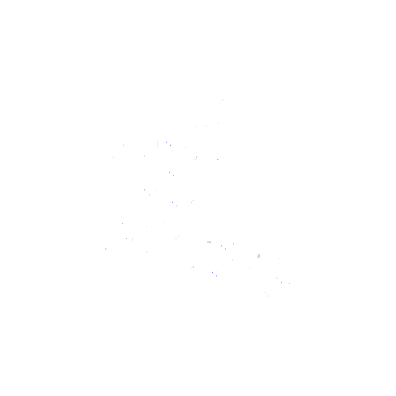 O=C(O)C(F)(F)F.[O-][S+]1CCc2nc(N3CCC(c4nc(-c5ccncc5)no4)CC3)nc(Nc3cccc(F)c3)c21